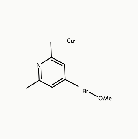 COBr.Cc1cc(C)nc(C)c1.[Cu]